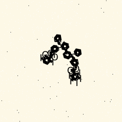 O=C(Oc1ccc([S+](c2ccccc2)c2cccc(-c3cccc([S+](c4ccccc4)c4ccc(OC(=O)c5c(I)c(I)c(I)c(I)c5I)cc4)c3)c2)cc1)c1c(I)ccc(I)c1O